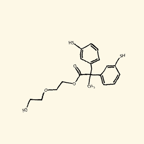 CC(C(=O)OCCOCCO)(c1cccc(S)c1)c1cccc(S)c1